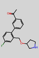 CC(=O)c1cccc(-c2ccc(F)cc2COC2CCNC2)c1